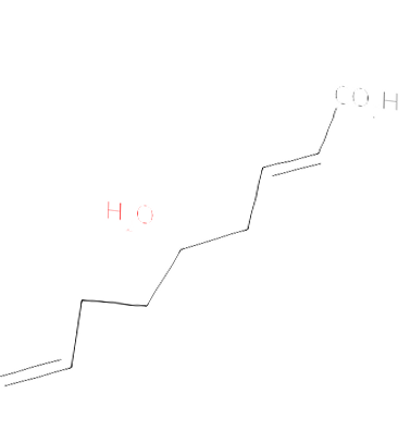 C=CCCCCC=CC(=O)O.O